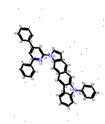 c1ccc(-c2cc(-c3ccccc3)nc(-n3ccc4cc5cc6c(cc5cc43)c3ccccc3n6-c3ccccc3)c2)cc1